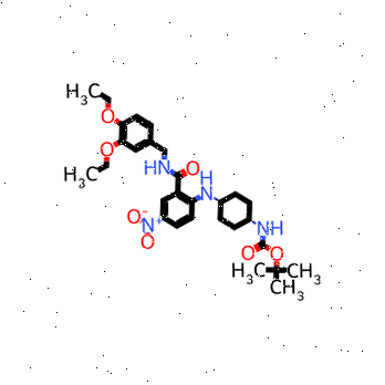 CCOc1ccc(CNC(=O)c2cc([N+](=O)[O-])ccc2N[C@H]2CC[C@@H](NC(=O)OC(C)(C)C)CC2)cc1OCC